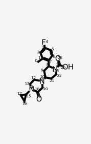 Cc1cc(F)ccc1C1CC(N2CCN(C3CC3)C(=O)C2)CCN1C(=O)O